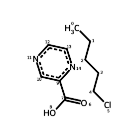 CCCCCCl.O=C(O)c1cnccn1